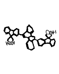 OCC1(CO)c2ccccc2-c2ccc(-c3cc4c5ccccc5c(-c5ccc6c(c5)C(CO)(CO)c5ccccc5-6)cc4c4ccccc34)cc21